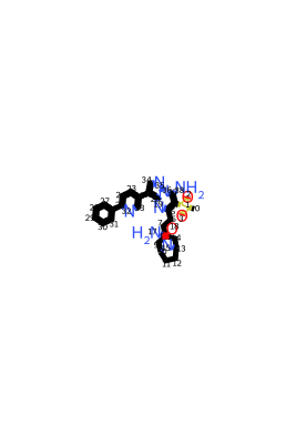 CS(=O)(=O)c1c(CCC2CC3CCC(C2)N3C(N)=O)nc2c(-c3ccc(-c4ccccc4)nc3)cnn2c1N